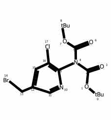 CC(C)(C)OC(=O)N(C(=O)OC(C)(C)C)c1ncc(CBr)cc1Cl